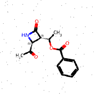 CC(=O)[C@H]1NC(=O)[C@@H]1C(C)OC(=O)c1ccccc1